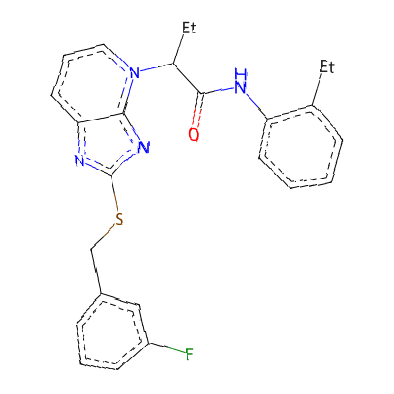 CCc1ccccc1NC(=O)C(CC)n1cccc2nc(SCc3cccc(F)c3)nc1-2